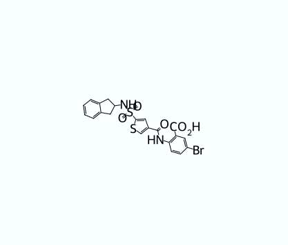 O=C(Nc1ccc(Br)cc1C(=O)O)c1csc(S(=O)(=O)NC2Cc3ccccc3C2)c1